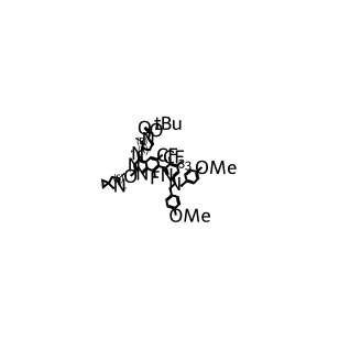 COc1ccc(CN(Cc2ccc(OC)cc2)c2cc(C)c(C(F)(F)F)c(-c3c(C(F)(F)F)cc4c(N(C)[C@@H]5CCN(C(=O)OC(C)(C)C)[C@@H]5C)nc(OC[C@@H]5CC6(CC6)CN5C)nc4c3F)n2)cc1